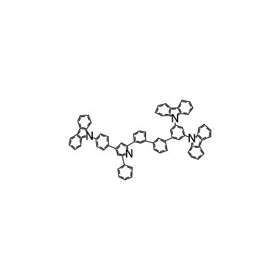 c1ccc(-c2cc(-c3ccc(-n4c5ccccc5c5ccccc54)cc3)cc(-c3cccc(-c4cccc(-c5cc(-n6c7ccccc7c7ccccc76)cc(-n6c7ccccc7c7ccccc76)c5)c4)c3)n2)cc1